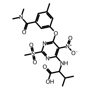 Cc1cc(Oc2nc(S(C)(=O)=O)nc(NC(C(=O)O)C(C)C)c2[N+](=O)[O-])cc(C(=O)N(C)C)c1